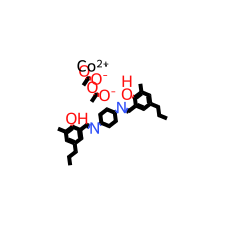 CC(=O)[O-].CC(=O)[O-].CCCc1cc(C)c(O)c(C=NC2CCC(N=Cc3cc(CCC)cc(C)c3O)CC2)c1.[Co+2]